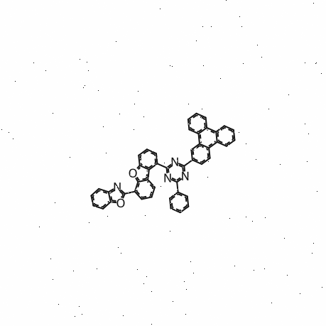 c1ccc(-c2nc(-c3ccc4c5ccccc5c5ccccc5c4c3)nc(-c3cccc4oc5c(-c6nc7ccccc7o6)cccc5c34)n2)cc1